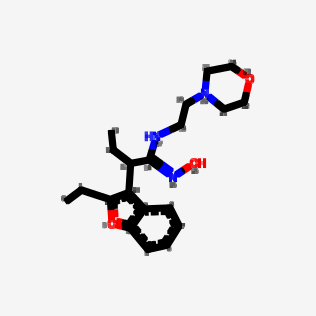 CCc1oc2ccccc2c1C(CC)C(=NO)NCCN1CCOCC1